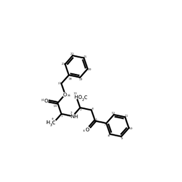 CC(NC(CC(=O)c1ccccc1)C(=O)O)C(=O)OCc1ccccc1